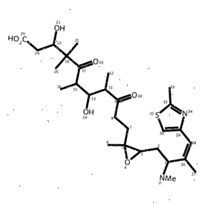 CNC(CC1OC1(C)CCC(=O)C(C)C(O)C(C)C(=O)C(C)(C)C(O)CC(=O)O)C(C)=Cc1csc(C)n1